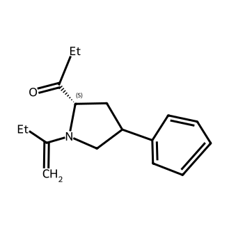 C=C(CC)N1CC(c2ccccc2)C[C@H]1C(=O)CC